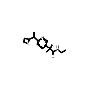 CCNC(=O)C(C)(C)c1ccc(C(C)C2CCS2)nc1